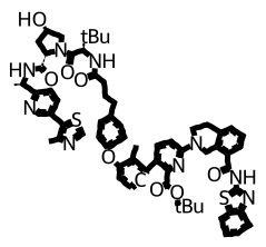 Cc1ncsc1-c1ccc([C@H](C)NC(=O)[C@@H]2C[C@@H](O)CN2C(=O)[C@@H](NC(=O)CCCc2ccc(Oc3cccc(-c4ccc(N5CCc6cccc(C(=O)Nc7nc8ccccc8s7)c6C5)nc4C(=O)OC(C)(C)C)c3C)cc2)C(C)(C)C)nc1